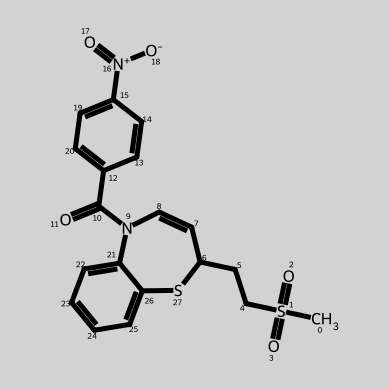 CS(=O)(=O)CCC1C=CN(C(=O)c2ccc([N+](=O)[O-])cc2)c2ccccc2S1